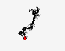 Cn1nc(C(=O)NCCCCNC[C@H](O)c2ccc(O)c3c2CCC(=O)N3)cc1COc1cccc([C@@H](NC(=O)O[C@H]2CN3CCC2CC3)c2ccccc2)c1